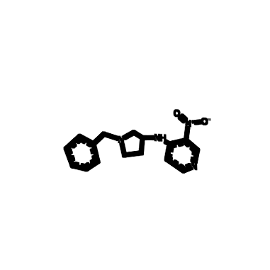 O=[N+]([O-])c1cnccc1NC1CCN(Cc2ccccc2)C1